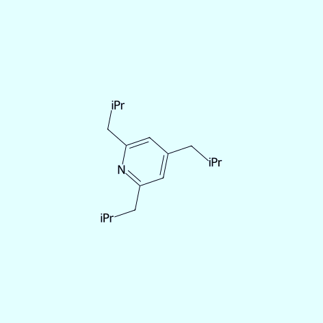 CC(C)Cc1cc(CC(C)C)nc(CC(C)C)c1